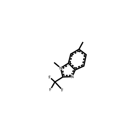 Cc1ccc2nc(C(F)(F)F)n(C)c2c1